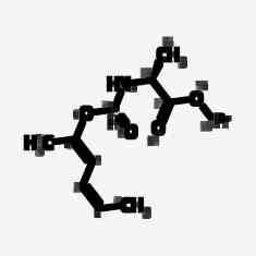 C/C=C\C=C(/C)O[PH](=O)N[C@@H](C)C(=O)OC(C)C